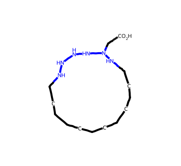 O=C(O)CN1NCCCCCCCCCCCCNNNN1